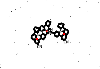 N#Cc1cccc(-c2ccc(-c3nc(-c4ccc(-c5cccc(C#N)c5)c(-n5c6ccccc6c6ccccc65)c4)nc(-c4ccccc4-c4ccccc4C#N)n3)cc2-n2c3ccccc3c3ccccc32)c1